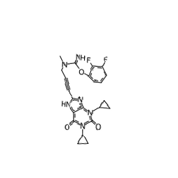 CN(CC#Cc1nc2c([nH]1)c(=O)n(C1CC1)c(=O)n2C1CC1)C(=N)Oc1cccc(F)c1F